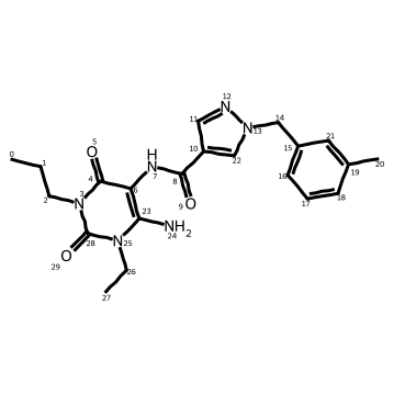 CCCn1c(=O)c(NC(=O)c2cnn(Cc3cccc(C)c3)c2)c(N)n(CC)c1=O